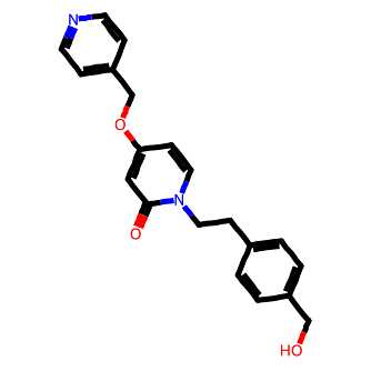 O=c1cc(OCc2ccncc2)ccn1CCc1ccc(CO)cc1